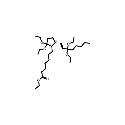 CCCCCC(C=C[C@H]1CCC(OCC)(OCC)[C@@H]1CCCCCCC(=O)OCC)(OCC)OCC